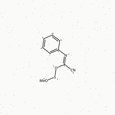 COSOC(C#N)=Nc1ccccc1